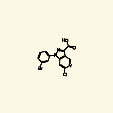 O=C(O)c1nn(-c2cccc(Br)c2)c2cc(Cl)ncc12